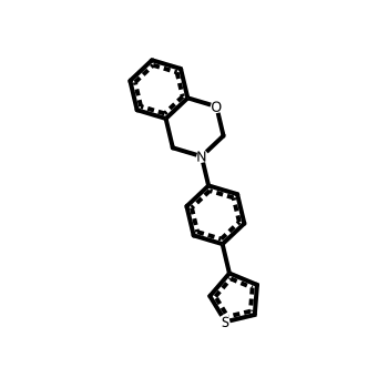 c1ccc2c(c1)CN(c1ccc(-c3ccsc3)cc1)CO2